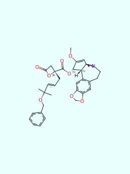 COC1=CC23CCCN2CCc2cc4c(cc2[C@@H]3[C@@H]1OC(=O)[C@@]1(C/C=C/C(C)(C)OCc2ccccc2)CC(=O)O1)OCO4